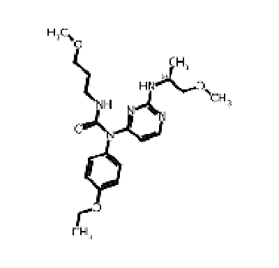 CCOc1ccc(N(C(=O)NCCCOC)c2ccnc(N[C@@H](C)COC)n2)cc1